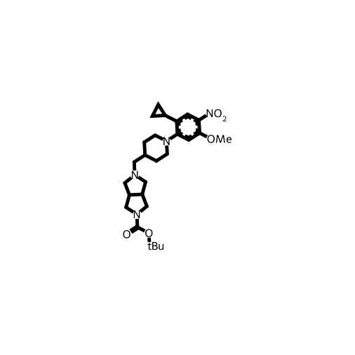 COc1cc(N2CCC(CN3CC4CN(C(=O)OC(C)(C)C)CC4C3)CC2)c(C2CC2)cc1[N+](=O)[O-]